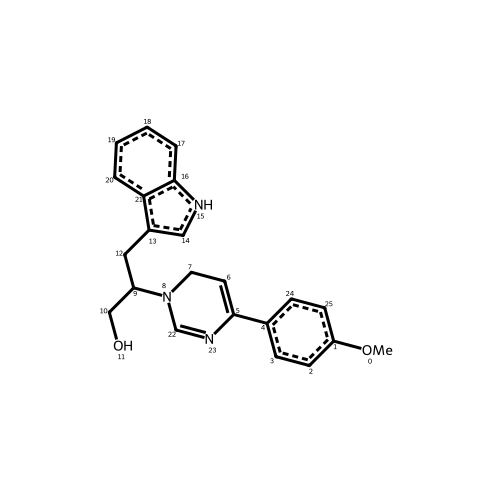 COc1ccc(C2=CCN(C(CO)Cc3c[nH]c4ccccc34)C=N2)cc1